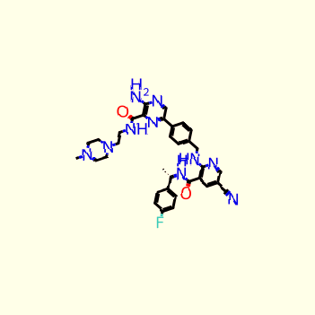 C[C@H](NC(=O)c1cc(C#N)cnc1NCc1ccc(-c2cnc(N)c(C(=O)NCCN3CCN(C)CC3)n2)cc1)c1ccc(F)cc1